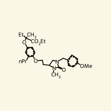 CCCc1cc(OC(C)(CC)C(=O)OCC)ccc1OCCC1CN(Cc2ccc(OC)cc2)C(=O)N1C